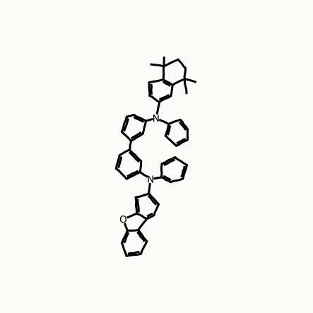 CC1(C)CCC(C)(C)c2cc(N(c3ccccc3)c3cccc(-c4cccc(N(c5ccccc5)c5ccc6c(c5)oc5ccccc56)c4)c3)ccc21